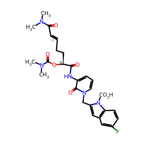 CN(C)C(=O)/C=C/CC[C@H](OC(=O)N(C)C)C(=O)Nc1cccn(Cc2cc3cc(F)ccc3n2C(=O)O)c1=O